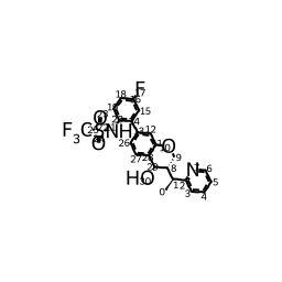 C[C@H](c1ccccn1)[C@H]1COc2cc(-c3cc(F)ccc3NS(=O)(=O)C(F)(F)F)ccc2[C@@H]1O